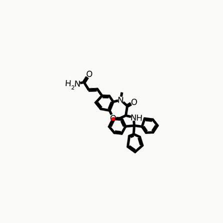 CN1C(=O)C(NC(c2ccccc2)(c2ccccc2)c2ccccc2)COc2ccc(C=CC(N)=O)cc21